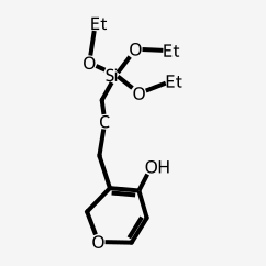 CCO[Si](CCCC1=C(O)C=COC1)(OCC)OCC